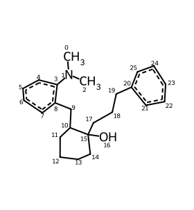 CN(C)c1ccccc1CC1CCCCC1(O)CCCc1ccccc1